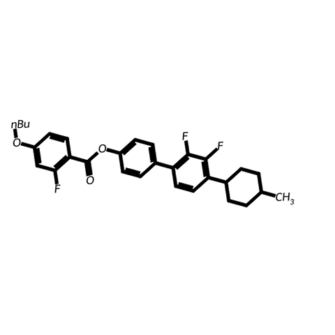 CCCCOc1ccc(C(=O)Oc2ccc(-c3ccc(C4CCC(C)CC4)c(F)c3F)cc2)c(F)c1